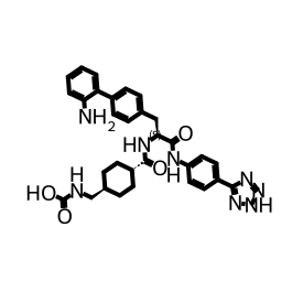 Nc1ccccc1-c1ccc(C[C@H](NC(=O)[C@H]2CC[C@H](CNC(=O)O)CC2)C(=O)Nc2ccc(-c3nn[nH]n3)cc2)cc1